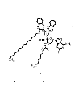 C#C[C@]1(CO[P@@](=O)(N[C@@H](Cc2ccccc2)C(=O)OCCCCCCCCCCCCCC)Oc2ccccc2)O[C@@H](n2cnc3c(N)nc(F)nc32)C[C@@H]1OC(=O)OCCCCCC